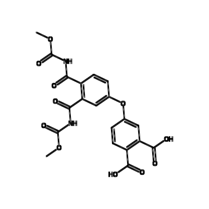 COC(=O)NC(=O)c1ccc(Oc2ccc(C(=O)O)c(C(=O)O)c2)cc1C(=O)NC(=O)OC